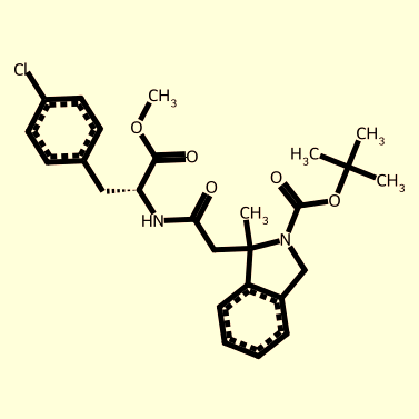 COC(=O)[C@@H](Cc1ccc(Cl)cc1)NC(=O)CC1(C)c2ccccc2CN1C(=O)OC(C)(C)C